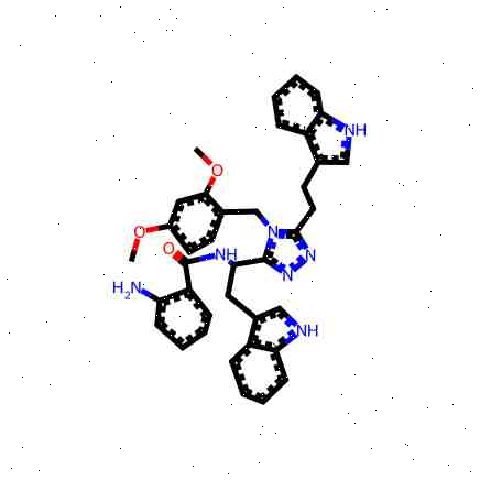 COc1ccc(Cn2c(CCc3c[nH]c4ccccc34)nnc2C(Cc2c[nH]c3ccccc23)NC(=O)c2ccccc2N)c(OC)c1